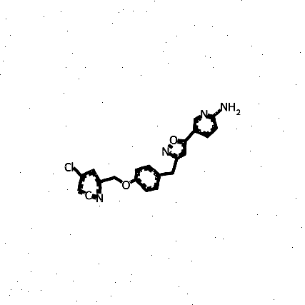 Nc1ccc(-c2cc(Cc3ccc(OCc4cc(Cl)ccn4)cc3)no2)cn1